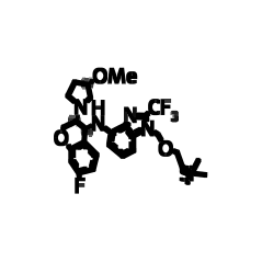 CO[C@@H]1CCN([C@H]2COc3cc(F)ccc3[C@@H]2Nc2cccc3c2nc(C(F)(F)F)n3COCC[Si](C)(C)C)C1